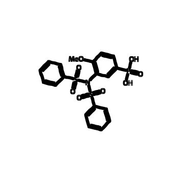 COc1ccc(P(=O)(O)O)cc1N(S(=O)(=O)c1ccccc1)S(=O)(=O)c1ccccc1